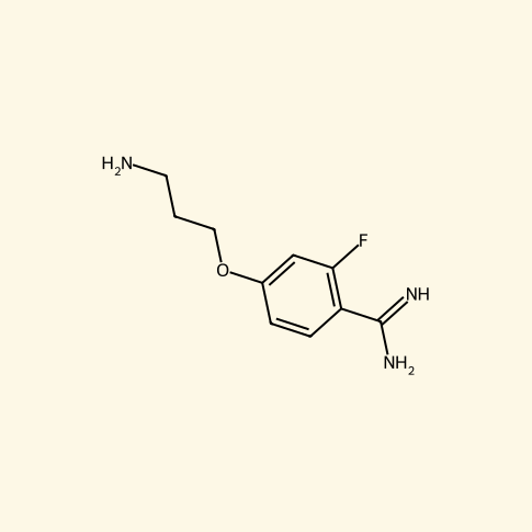 N=C(N)c1ccc(OCCCN)cc1F